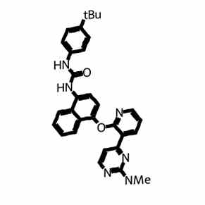 CNc1nccc(-c2cccnc2Oc2ccc(NC(=O)Nc3ccc(C(C)(C)C)cc3)c3ccccc23)n1